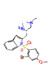 CNC(Cc1cc2ccccc2n1S(=O)(=O)c1ccc(OC)cc1Br)CN(C)C